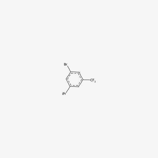 CC(C)c1cc(Br)[c]c(C(F)(F)F)c1